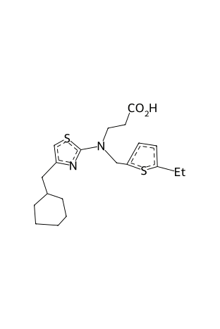 CCc1ccc(CN(CCC(=O)O)c2nc(CC3CCCCC3)cs2)s1